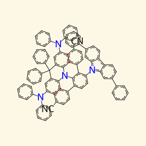 N#Cc1ccc(-c2ccc(-n3c4cc(-c5ccccc5)ccc4c4ccc(-c5ccccc5)cc43)c(-c3ccc(C#N)cc3)c2N2c3ccc(N(c4ccccc4)c4ccccc4)cc3C(c3ccccc3)(c3ccccc3)c3cc(N(c4ccccc4)c4ccccc4)ccc32)cc1